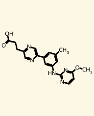 COc1ccnc(Nc2cc(C)cc(-c3cnc(CCC(=O)O)cn3)c2)n1